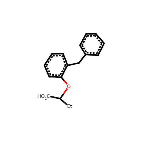 CCC(Oc1ccccc1Cc1ccccc1)C(=O)O